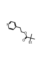 CCC(C)(C)C(=O)OCCc1ccncc1